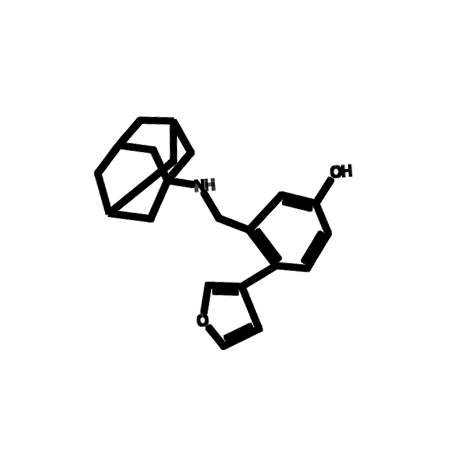 Oc1ccc(-c2ccoc2)c(CNC23CC4CC(CC(C4)C2)C3)c1